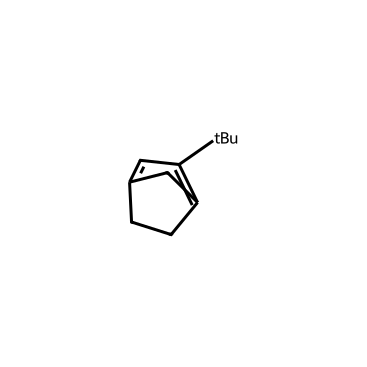 CC(C)(C)C1=C2CCC(=C1)C2